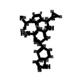 Nc1nc(N[C@@H](c2ccn(C(F)F)n2)C2CC2)nc(-c2ccc3[nH]ncc3c2)n1